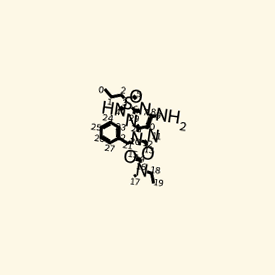 CCCS(=N)(=O)c1nc(N)c2nc(OC(=O)N(C)CC)n(Cc3ccccc3)c2n1